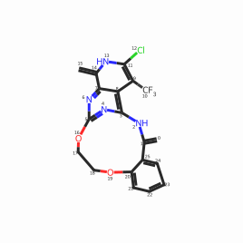 C=C1Nc2nc(nc3c2C(C(F)(F)F)=C(Cl)NC3=C)OCCOc2ccccc21